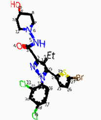 CCc1c(C(=O)NN2CCC(O)CC2)nn(-c2ccc(Cl)cc2Cl)c1-c1ccc(Br)s1